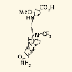 COc1cc(C(=O)O)ccc1NCCC#Cc1cc2c(N[C@@H]3CCN(CC(N)=O)C[C@@H]3F)cccc2n1CC(F)(F)F